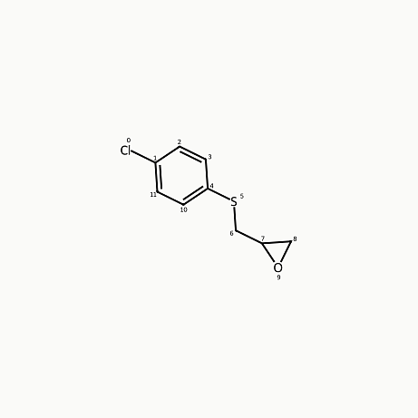 Clc1ccc(SCC2CO2)cc1